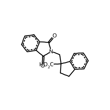 O=C1c2ccccc2C(=O)N1CC1(C(=O)O)CCc2ccccc21